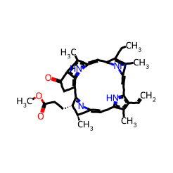 C=Cc1c2[nH]c(c1C)/C=C1\N=C(C3=c4[nH]/c(c(C)c4C(=O)C3)=C\C3N/C(=C\2)C(C)=C3CC)[C@@H](CCC(=O)OC)[C@@H]1C